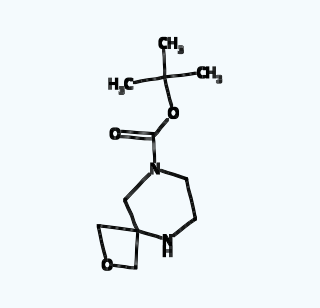 CC(C)(C)OC(=O)N1CCNC2(COC2)C1